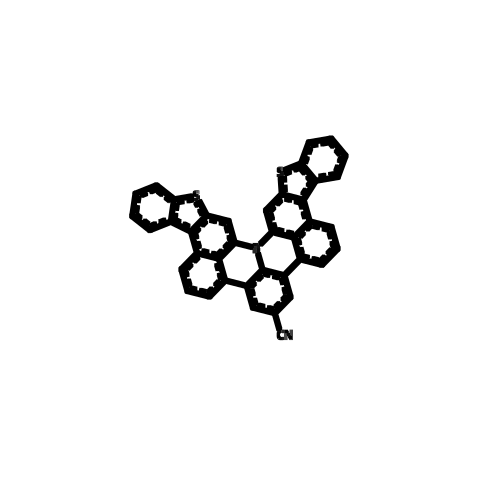 N#Cc1cc2c3c(c1)-c1cccc4c1c(cc1sc5ccccc5c14)B3c1cc3sc4ccccc4c3c3cccc-2c13